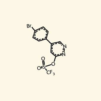 O=S(=O)(Oc1cc(-c2ccc(Br)cc2)cnn1)C(F)(F)F